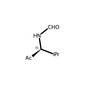 CC(=O)[C@@H](NC=O)C(C)C